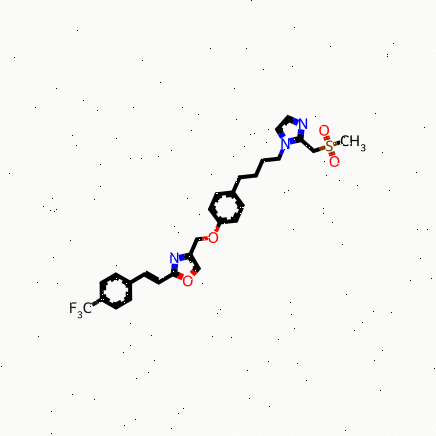 CS(=O)(=O)Cc1nccn1CCCCc1ccc(OCc2coc(C=Cc3ccc(C(F)(F)F)cc3)n2)cc1